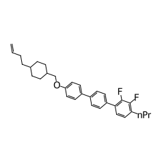 C=CCCC1CCC(COc2ccc(-c3ccc(-c4ccc(CCC)c(F)c4F)cc3)cc2)CC1